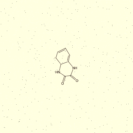 O=C1NC2=CC=C[C]C2NC1=O